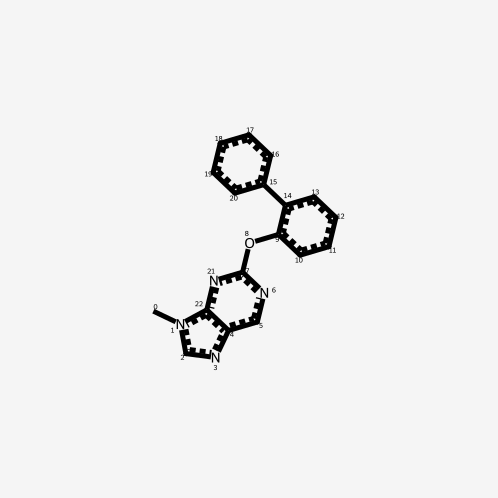 Cn1cnc2cnc(Oc3ccccc3-c3ccccc3)nc21